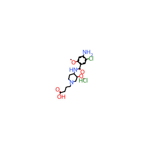 COc1cc(N)c(Cl)cc1C(=O)NC1CCN(CCCC(=O)O)CC1OC.Cl